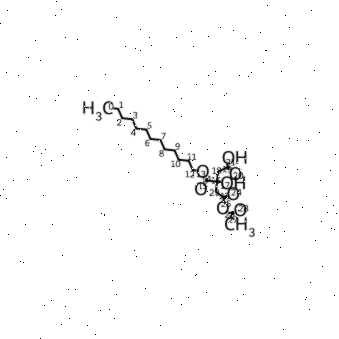 CCCCCCCCCCCCCOC(=O)C(O)(CC(=O)O)CC(=O)OC(C)=O